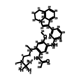 [2H]C([2H])([2H])N(C)CCN(C)c1cc(OC)c(Nc2nccc(-c3cn4c5c(cccc35)CCC4)n2)cc1NC(C)=O